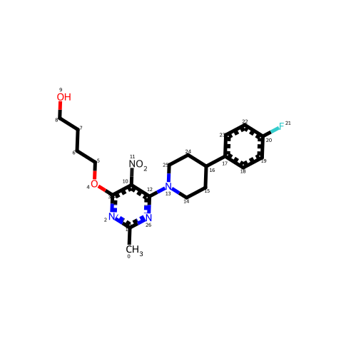 Cc1nc(OCCCCO)c([N+](=O)[O-])c(N2CCC(c3ccc(F)cc3)CC2)n1